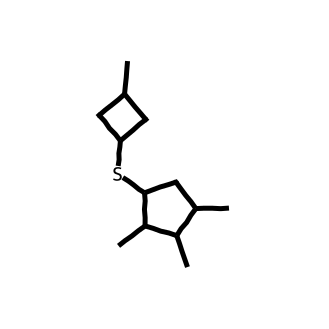 CC1CC(SC2CC(C)C(C)C2C)C1